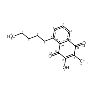 CCCCCc1cccc2c1C(=O)C(O)=C(C)C2=O